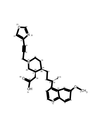 COc1ccc2nccc([C@@H](F)CC[C@@H]3CCN(CC#Cc4cocn4)C[C@@H]3CC(=O)O)c2c1